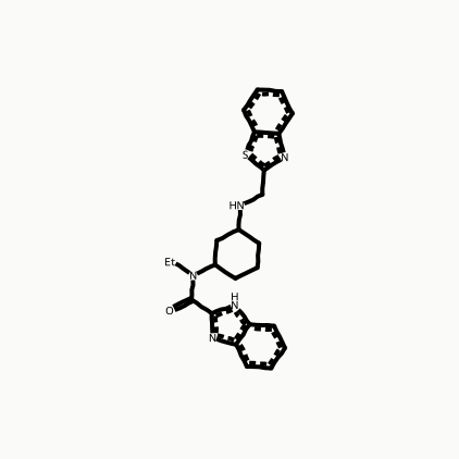 CCN(C(=O)c1nc2ccccc2[nH]1)C1CCCC(NCc2nc3ccccc3s2)C1